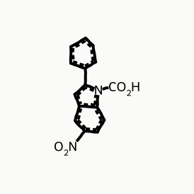 O=C(O)n1c(-c2ccccc2)cc2cc([N+](=O)[O-])ccc21